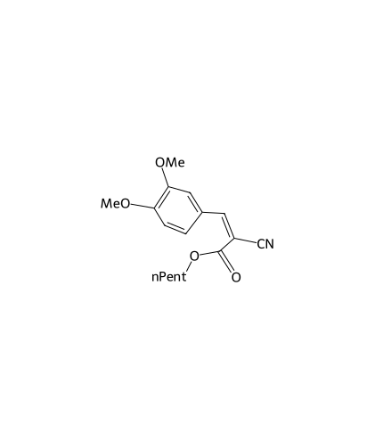 CCCCCOC(=O)C(C#N)=Cc1ccc(OC)c(OC)c1